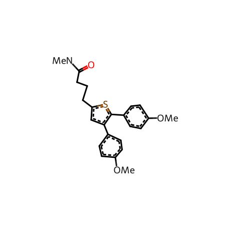 CNC(=O)CCCc1cc(-c2ccc(OC)cc2)c(-c2ccc(OC)cc2)s1